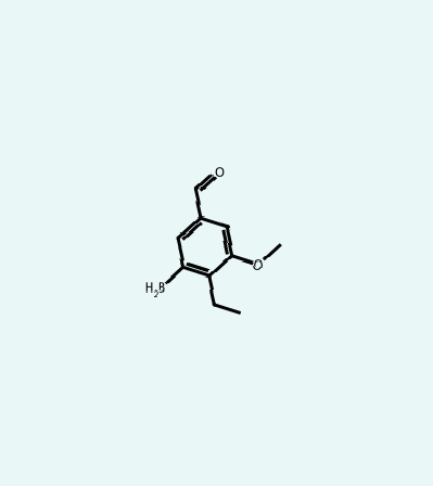 Bc1cc(C=O)cc(OC)c1CC